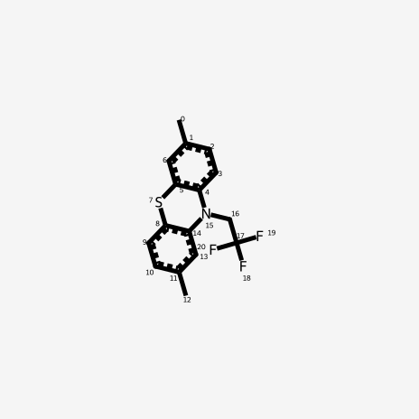 Cc1ccc2c(c1)Sc1ccc(C)cc1N2CC(F)(F)F